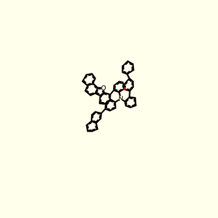 c1ccc(-c2ccc(-c3ccccc3N(c3ccc(-c4ccc5ccccc5c4)cc3)c3ccccc3-c3cccc4c3oc3c5ccccc5ccc43)cc2)cc1